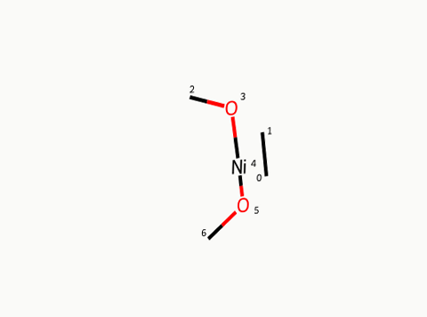 CC.C[O][Ni][O]C